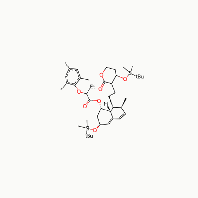 CCC(Oc1c(C)cc(C)cc1C)C(=O)O[C@H]1C[C@H](O[Si](C)(C)C(C)(C)C)C=C2C=C[C@H](C)[C@H](CCC3C(=O)OCCC3O[Si](C)(C)C(C)(C)C)[C@H]21